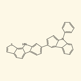 c1ccc(-n2c3ccccc3c3cc(-c4ccc5c(c4)[nH]c4c5ccc5ccsc54)ccc32)cc1